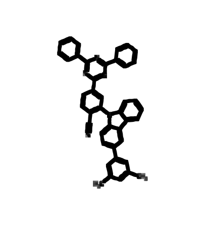 Cc1cc(C)cc(-c2ccc3c(c2)c2ccccc2n3-c2cc(-c3nc(-c4ccccc4)nc(-c4ccccc4)n3)ccc2C#N)c1